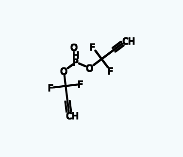 C#CC(F)(F)O[PH](=O)OC(F)(F)C#C